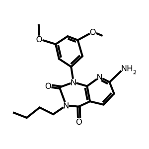 CCCCn1c(=O)c2ccc(N)nc2n(-c2cc(OC)cc(OC)c2)c1=O